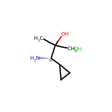 CC(C)(O)[C@@H](N)C1CC1.Cl